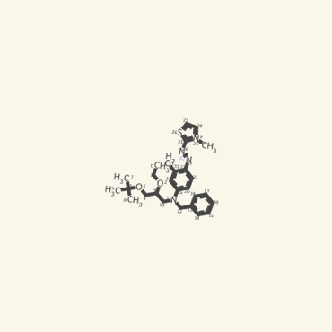 CCOC(COC(C)(C)C)CN(Cc1ccccc1)c1ccc(/N=N/c2scc[n+]2C)c(C)c1